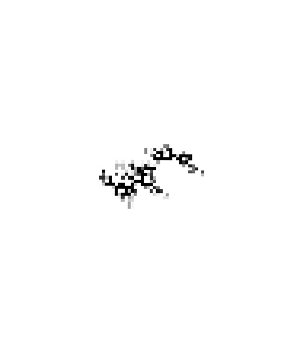 Cc1cc(C(C(=O)NN)c2c[nH]c3ncc(-c4cnn(C)c4)cc23)c2nnc(Cc3c[nH]c4ncc(-c5cnn(C)c5)cc34)n2n1